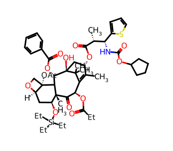 CCC(=O)O[C@H]1C(=O)[C@@]2(C)C([C@H](OC(=O)c3ccccc3)[C@]3(O)C[C@H](OC(=O)[C@H](C)[C@@H](NC(=O)OC4CCCC4)c4cccs4)C(C)=C1C3(C)C)[C@]1(OC(C)=O)CO[C@@H]1C[C@@H]2O[Si](CC)(CC)CC